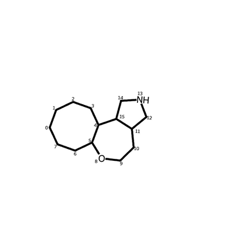 C1CCCC2C(CC1)OCCC1CNCC12